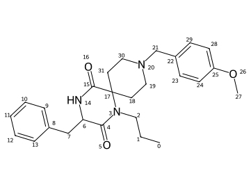 CCCN1C(=O)C(Cc2ccccc2)NC(=O)C12CCN(Cc1ccc(OC)cc1)CC2